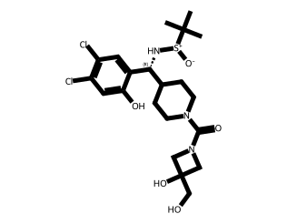 CC(C)(C)[S+]([O-])N[C@@H](c1cc(Cl)c(Cl)cc1O)C1CCN(C(=O)N2CC(O)(CO)C2)CC1